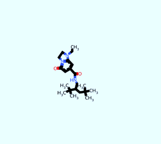 CCN1CCn2c1cc(C(=O)NCC(CC(C)(C)C)C(C)(C)C)cc2=O